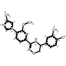 COc1nc(C2=NOCC(c3ccc(Cl)c(C)c3)N2)ccc1-n1cnc(C)c1